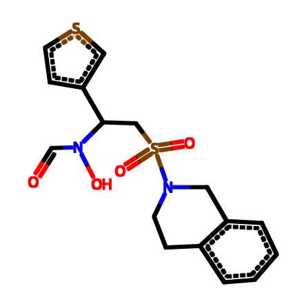 O=CN(O)C(CS(=O)(=O)N1CCc2ccccc2C1)c1ccsc1